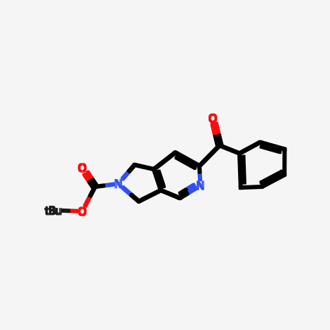 CC(C)(C)OC(=O)N1Cc2cnc(C(=O)c3ccccc3)cc2C1